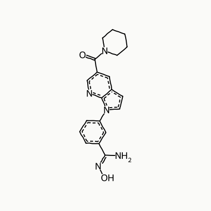 N/C(=N\O)c1cccc(-n2ccc3cc(C(=O)N4CCCCC4)cnc32)c1